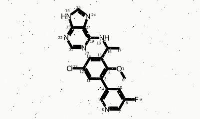 COc1c(-c2cncc(F)c2)cc(Cl)cc1C(C)Nc1ncnc2[nH]cnc12